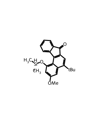 COc1cc(O[SiH](C)C)c2c3c(cc(C(C)(C)C)c2c1)C(=O)c1ccccc1-3